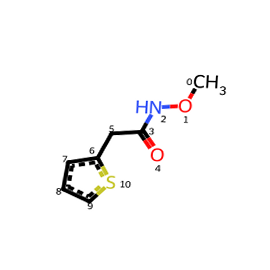 CONC(=O)Cc1cccs1